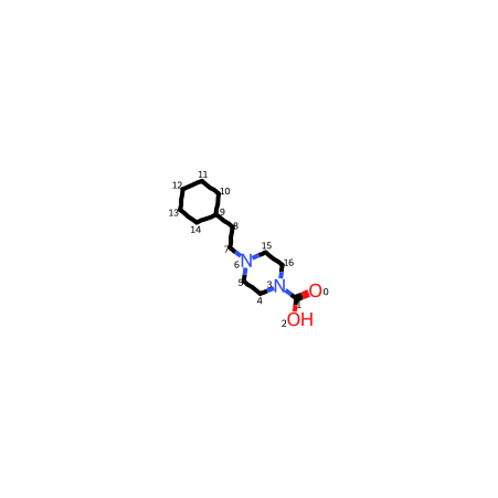 O=C(O)N1CCN(CCC2CCCCC2)CC1